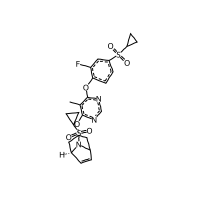 Cc1c(Oc2ccc(S(=O)(=O)C3CC3)cc2F)ncnc1O[C@@H]1CC2C=C[C@@H](C1)N2S(=O)(=O)C1CC1